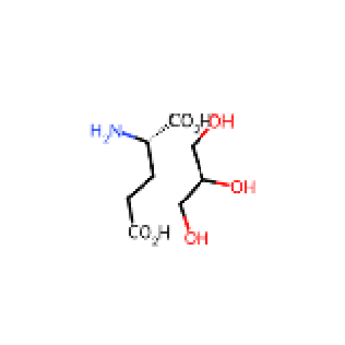 N[C@@H](CCC(=O)O)C(=O)O.OCC(O)CO